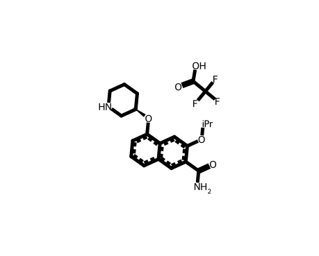 CC(C)Oc1cc2c(O[C@@H]3CCCNC3)cccc2cc1C(N)=O.O=C(O)C(F)(F)F